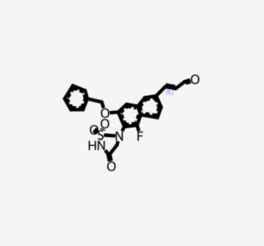 O=C/C=C/c1ccc2c(F)c(N3CC(=O)NS3(=O)=O)c(OCc3ccccc3)cc2c1